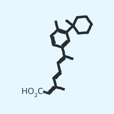 CC(=C/C(=O)O)/C=C/C=C(\C)c1ccc(C)c(C2(C)CCCCC2)c1